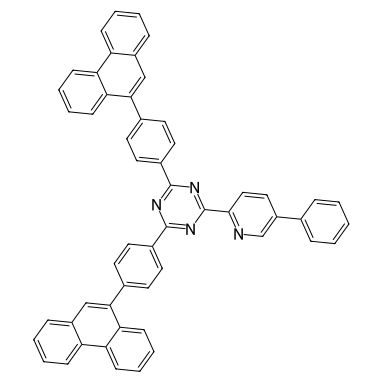 c1ccc(-c2ccc(-c3nc(-c4ccc(-c5cc6ccccc6c6ccccc56)cc4)nc(-c4ccc(-c5cc6ccccc6c6ccccc56)cc4)n3)nc2)cc1